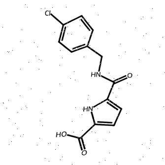 O=C(O)c1ccc(C(=O)NCc2ccc(Cl)cc2)[nH]1